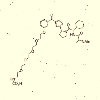 CN[C@@H](C)C(=O)N[C@H](C(=O)N1CCC[C@H]1c1nc(C(=O)c2cccc(OCCOCCOCCOCCOCCNC(=O)O)c2)cs1)C1CCCCC1